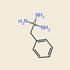 N[Si](N)(N)Cc1ccccc1